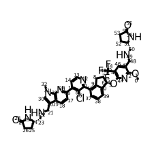 COc1nc(O[C@@H]2CCc3c(-c4nccc(-c5ccc6c(CNC[C@@H]7CCC(=O)N7)cn(C)c6n5)c4Cl)cccc32)c(C(F)(F)F)cc1CNC[C@@H]1CCC(=O)N1